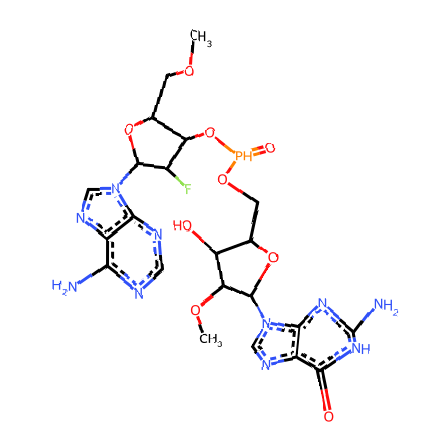 COCC1OC(n2cnc3c(N)ncnc32)C(F)C1O[PH](=O)OCC1OC(n2cnc3c(=O)[nH]c(N)nc32)C(OC)C1O